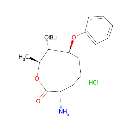 CC(C)CO[C@H]1[C@H](C)OC(=O)[C@@H](N)CCC[C@@H]1Oc1ccccc1.Cl